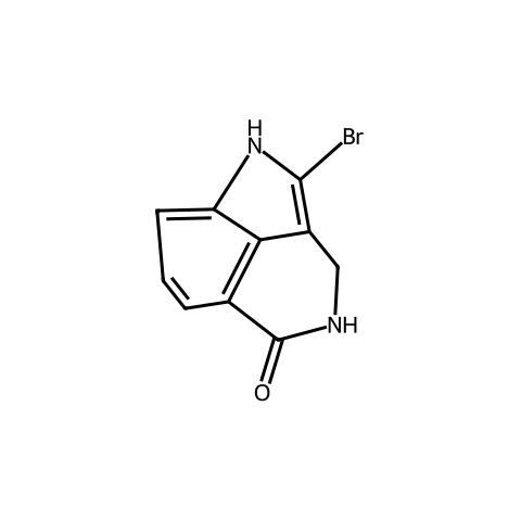 O=C1NCc2c(Br)[nH]c3cccc1c23